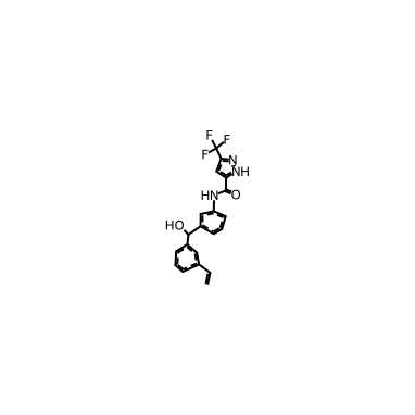 C=Cc1cccc(C(O)c2cccc(NC(=O)c3cc(C(F)(F)F)n[nH]3)c2)c1